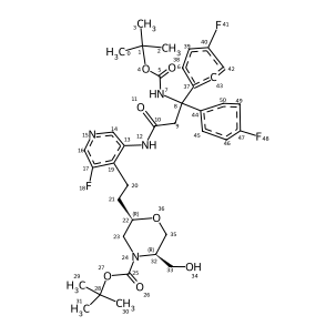 CC(C)(C)OC(=O)NC(CC(=O)Nc1cncc(F)c1CC[C@@H]1CN(C(=O)OC(C)(C)C)[C@H](CO)CO1)(c1ccc(F)cc1)c1ccc(F)cc1